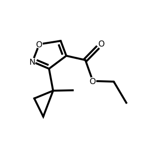 CCOC(=O)c1conc1C1(C)CC1